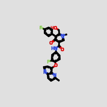 Cc1ccc2nccc(Oc3ccc(NC(=O)c4cn(C)c(CO)c(-c5ccc(F)cc5)c4=O)cc3F)c2n1